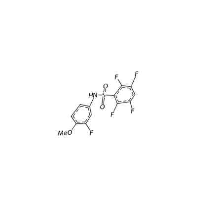 COc1ccc(NS(=O)(=O)c2c(F)c(F)cc(F)c2F)cc1F